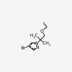 CC(C)(COCI)n1cc(Br)cn1